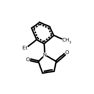 CCc1c[c]cc(C)c1N1C(=O)C=CC1=O